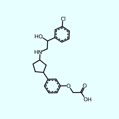 O=C(O)COc1cccc(C2CCC(NCC(O)c3cccc(Cl)c3)C2)c1